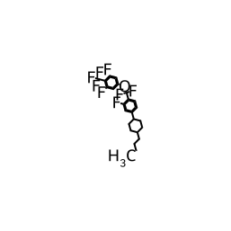 CCCCC1CCC(c2ccc(C(F)(F)Oc3cc(F)c(C(F)(F)F)c(F)c3)c(F)c2)CC1